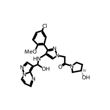 COc1ccc(Cl)cc1-c1nn(CC(=O)N2CC[C@H](O)C2)cc1NC(O)c1cnn2cccnc12